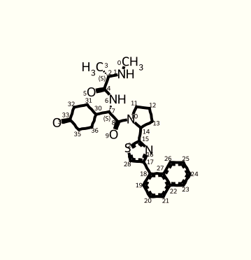 CN[C@@H](C)C(=O)N[C@H](C(=O)N1CCCC1c1nc(-c2cccc3ccccc23)cs1)C1CCC(=O)CC1